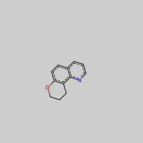 c1cnc2c3c(ccc2c1)OCCC3